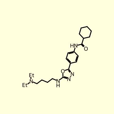 CCN(CC)CCCCNc1nnc(-c2ccc(NC(=O)C3CCCCC3)cc2)o1